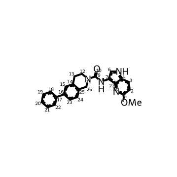 COc1ccc2[nH]cc(NC(=O)N3CCc4cc(-c5ccccc5)ccc4C3)c2n1